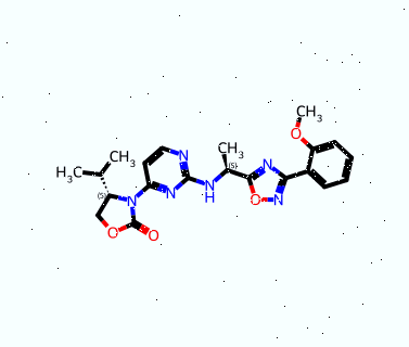 COc1ccccc1-c1noc([C@H](C)Nc2nccc(N3C(=O)OC[C@@H]3C(C)C)n2)n1